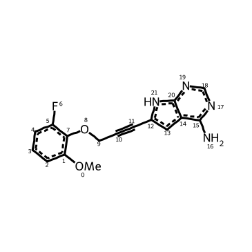 COc1cccc(F)c1OCC#Cc1cc2c(N)ncnc2[nH]1